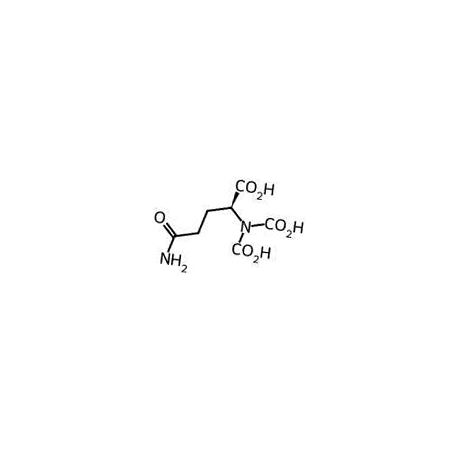 NC(=O)CC[C@@H](C(=O)O)N(C(=O)O)C(=O)O